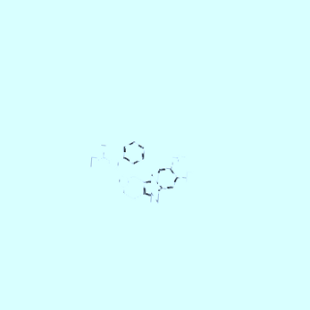 Fc1cc2nc3c(n2cc1Br)[C@@H](c1ccccc1OC(F)F)OCC3